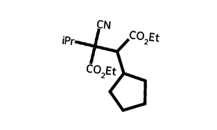 CCOC(=O)C(C1CCCC1)C(C#N)(C(=O)OCC)C(C)C